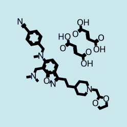 CN(C)Cc1c(N(C)Cc2ccc(C#N)cc2)ccc2c(CCC3CCN(CC4OCCO4)CC3)noc12.O=C(O)/C=C/C(=O)O.O=C(O)/C=C/C(=O)O